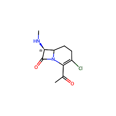 CN[C@@H]1C(=O)N2C(C(C)=O)=C(Cl)CCC12